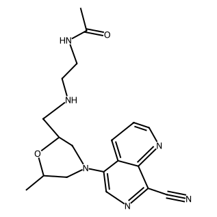 CC(=O)NCCNCC1CN(c2cnc(C#N)c3ncccc23)CC(C)O1